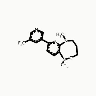 CN1CCCCN(C)c2nc(-c3cncc(C(F)(F)F)c3)ccc21